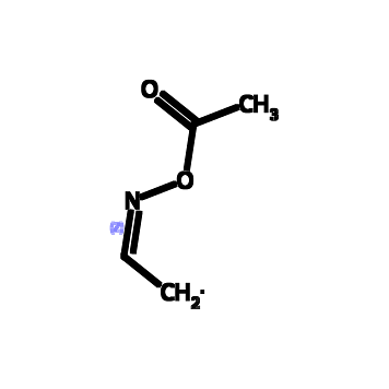 [CH2]/C=N\OC(C)=O